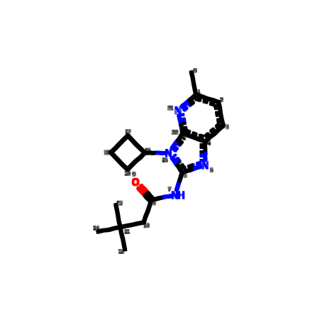 Cc1ccc2nc(NC(=O)CC(C)(C)C)n(C3CCC3)c2n1